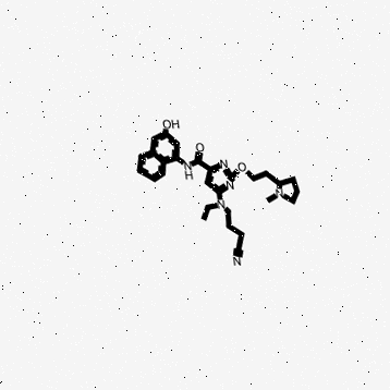 CCN(CCCC#N)c1cc(C(=O)Nc2cc(O)cc3ccccc23)nc(OCCC2CCCN2C)n1